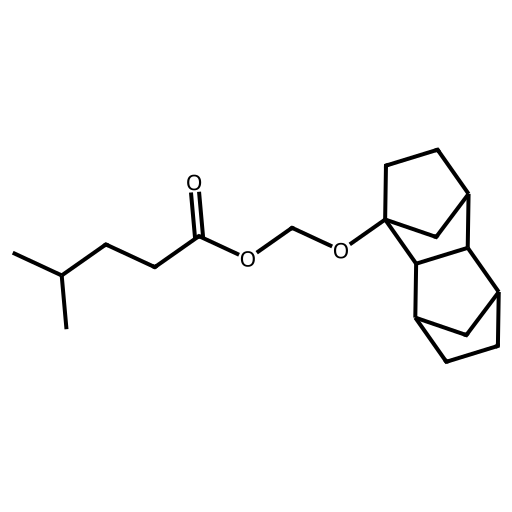 CC(C)CCC(=O)OCOC12CCC(C1)C1C3CCC(C3)C12